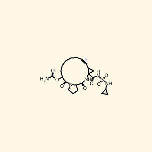 NC(=O)OC1CCCCC/C=C\C2CC2(C(=O)NS(=O)(=O)NC2CC2)NC(=O)C2CCCN2C1=O